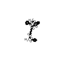 CC(COC(=O)c1ccccc1C(=O)OC(C)COC(=O)c1ccccc1)OC(=O)CCCCC(=O)OCC(C)OC(=O)c1ccccc1